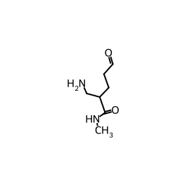 CNC(=O)C(CN)CCC=O